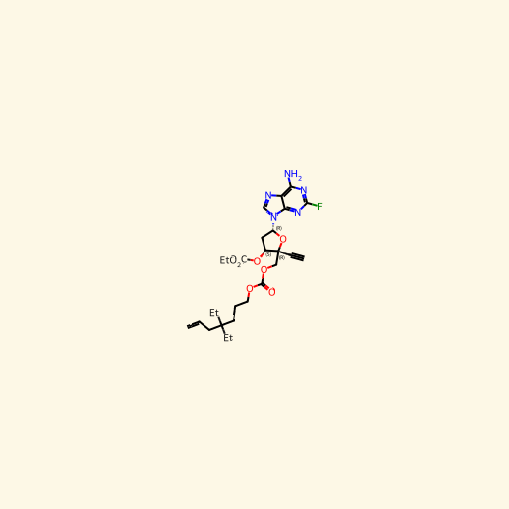 C#C[C@]1(COC(=O)OCCCC(CC)(CC)CC=C)O[C@@H](n2cnc3c(N)nc(F)nc32)C[C@@H]1OC(=O)OCC